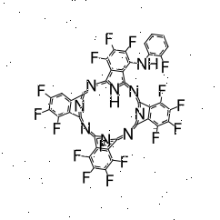 Fc1ccccc1Nc1c(F)c(F)c(F)c2c3nc4nc(nc5c6c(F)c(F)c(F)c(F)c6c(nc6nc(nc([nH]3)c12)-c1c(F)c(F)c(F)c(F)c1-6)n5F)-c1c-4cc(F)c(F)c1F